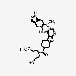 COCCN(CCO)C(=O)C1CCc2c(sc3ncnc(Nc4cc5cn[nH]c5cc4OC)c23)C1